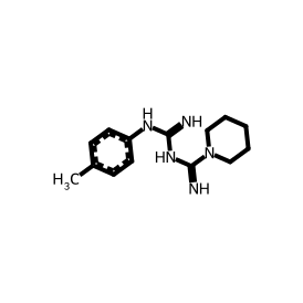 Cc1ccc(NC(=N)NC(=N)N2CCCCC2)cc1